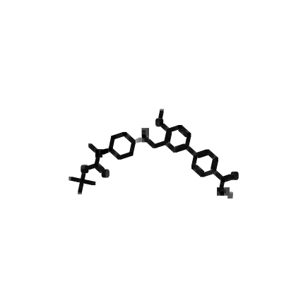 COc1ccc(-c2ccc(C(N)=O)cc2)cc1CN[C@H]1CC[C@H](N(C)C(=O)OC(C)(C)C)CC1